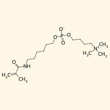 C=C(C)C(=O)NCCCCCCOP(=O)([O-])OCCCC[N+](C)(C)C